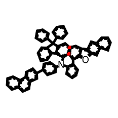 c1ccc(C2(c3ccccc3)c3ccccc3-c3c(N(c4ccc(-c5ccc6c(ccc7ccccc76)c5)cc4)c4ccccc4-c4cccc5c4oc4cc6ccccc6cc45)cccc32)cc1